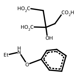 CCNOc1ccccc1.O=C(O)CC(O)(CC(=O)O)C(=O)O